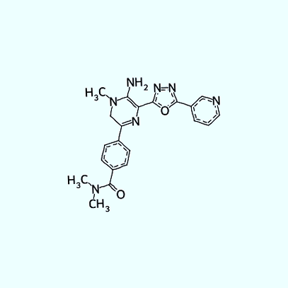 CN(C)C(=O)c1ccc(C2=NC(c3nnc(-c4cccnc4)o3)=C(N)N(C)C2)cc1